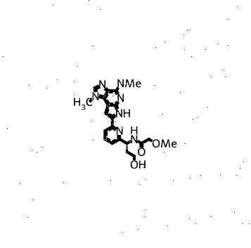 CNc1nc2[nH]c(-c3cccc([C@H](CCO)NC(=O)COC)n3)cc2c2c1ncn2C